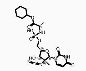 C[C@H](NP(=O)(O)OC[C@H]1O[C@@H](n2ccc(=O)[nH]c2=O)[C@](C)(N=[N+]=[N-])[C@@H]1O)C(=O)OC1CCCCC1